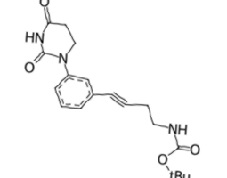 CC(C)(C)OC(=O)NCCC#Cc1cccc(N2CCC(=O)NC2=O)c1